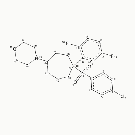 O=S(=O)(c1ccc(Cl)cc1)[C@@]1(c2cc(F)ccc2F)CCCC(N2CCOCC2)CC1